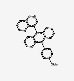 COc1ccc(-c2c3ccccc3c(-c3cncc4cccnc34)c3ccccc23)cc1